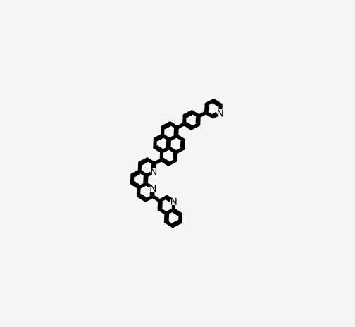 c1cncc(-c2ccc(-c3ccc4ccc5c(-c6ccc7ccc8ccc(-c9cnc%10ccccc%10c9)nc8c7n6)ccc6ccc3c4c65)cc2)c1